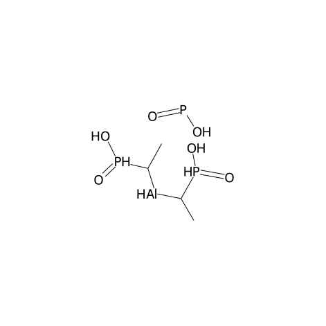 C[CH]([AlH][CH](C)[PH](=O)O)[PH](=O)O.O=PO